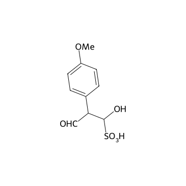 COc1ccc(C(C=O)C(O)S(=O)(=O)O)cc1